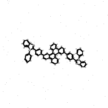 c1ccc(-n2c(-c3ccc(-c4ccc5c6ccccc6c6c7cc(-c8ccc(-c9nc%10ccccc%10n9-c9ccccc9)cc8)ccc7c7ccccc7c6c5c4)cc3)nc3ccccc32)cc1